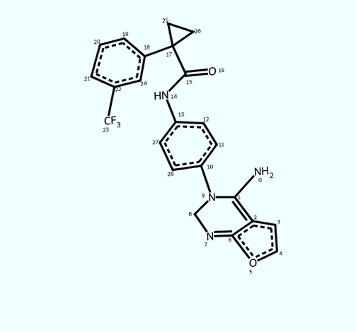 NC1=c2ccoc2=NCN1c1ccc(NC(=O)C2(c3cccc(C(F)(F)F)c3)CC2)cc1